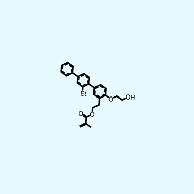 C=C(C)C(=O)OCCc1cc(-c2ccc(-c3ccccc3)cc2CC)ccc1OCCO